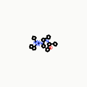 c1ccc(-c2nc(-c3cccc4ccccc34)nc(-n3c4ccccc4c4c3ccc3c5ccccc5n(-c5cc(-c6ccccc6)c6oc7ccccc7c6c5)c34)n2)cc1